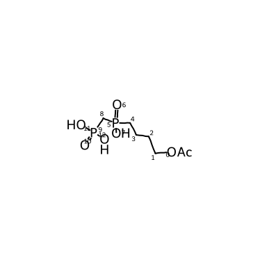 CC(=O)OCCCCP(=O)(O)CP(=O)(O)O